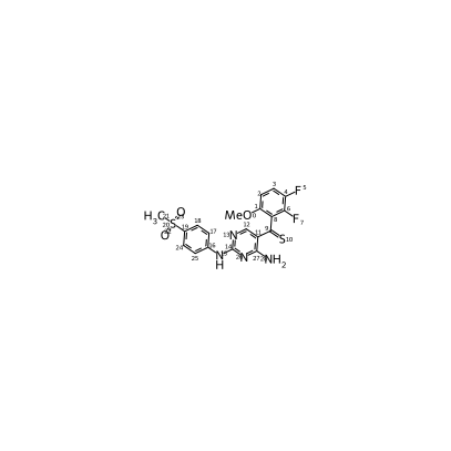 COc1ccc(F)c(F)c1C(=S)c1cnc(Nc2ccc(S(C)(=O)=O)cc2)nc1N